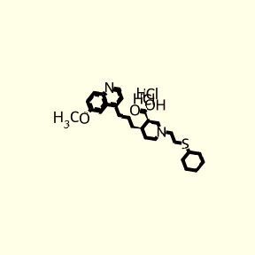 COc1ccc2nccc(CCC[C@@H]3CCN(CCSC4CCCCC4)C[C@@H]3C(=O)O)c2c1.Cl.Cl